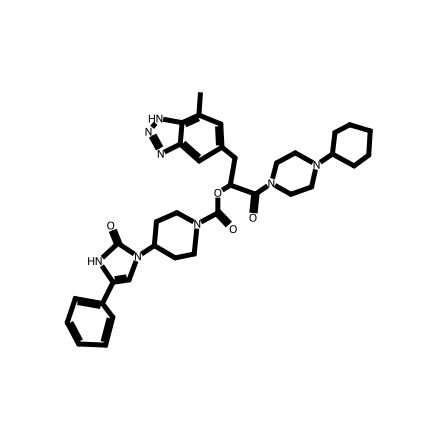 Cc1cc(CC(OC(=O)N2CCC(n3cc(-c4ccccc4)[nH]c3=O)CC2)C(=O)N2CCN(C3CCCCC3)CC2)cc2nn[nH]c12